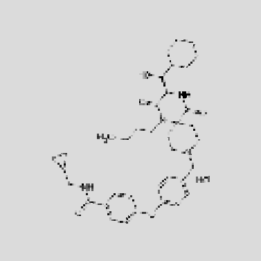 CCCCN1C(=O)[C@@H](C(O)C2CCCCC2)NC(=O)C12CCN(Cc1ccc(Oc3ccc(C(=O)NCC4CC4)cc3)cc1)CC2.Cl